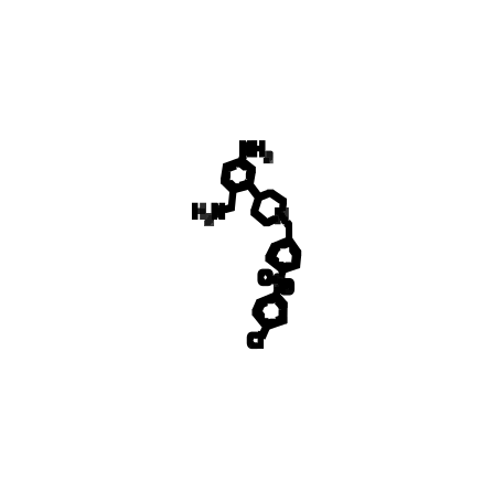 NCc1ccc(N)cc1C1CCN(Cc2ccc(S(=O)(=O)c3ccc(Cl)cc3)cc2)CC1